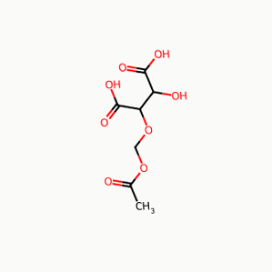 CC(=O)OCOC(C(=O)O)C(O)C(=O)O